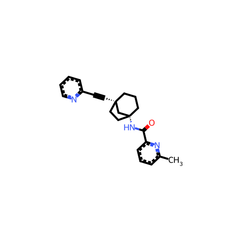 Cc1cccc(C(=O)N[C@]23CCC[C@](C#Cc4ccccn4)(CC2)C3)n1